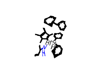 CCC(C)[NH][Hf]([C]1=C(C)C(C)=C(C)C1C)[SiH](c1ccccc1)c1ccccc1.c1ccc(-c2ccccc2)cc1